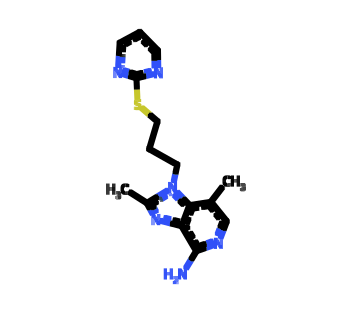 Cc1cnc(N)c2nc(C)n(CCCSc3ncccn3)c12